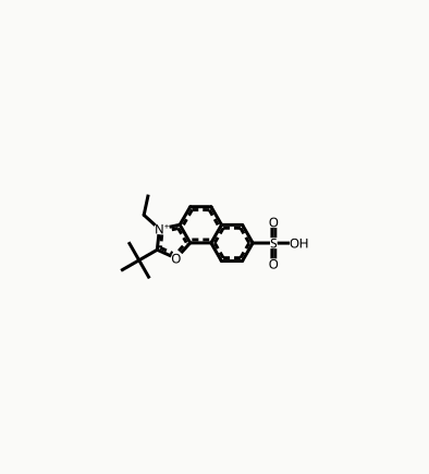 CC[n+]1c(C(C)(C)C)oc2c3ccc(S(=O)(=O)O)cc3ccc21